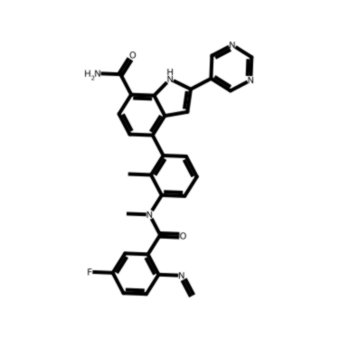 C=Nc1ccc(F)cc1C(=O)N(C)c1cccc(-c2ccc(C(N)=O)c3[nH]c(-c4cncnc4)cc23)c1C